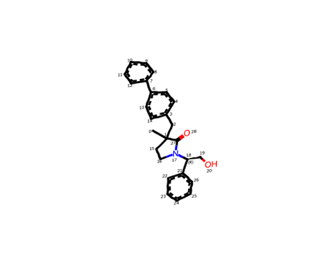 CC1(Cc2ccc(-c3ccccc3)cc2)CCN([C@@H](CO)c2ccccc2)C1=O